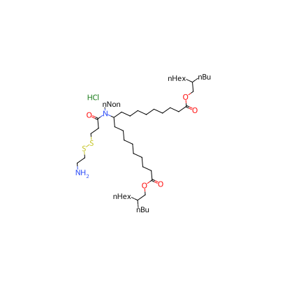 CCCCCCCCCN(C(=O)CCSSCCN)C(CCCCCCCCC(=O)OCC(CCCC)CCCCCC)CCCCCCCCC(=O)OCC(CCCC)CCCCCC.Cl